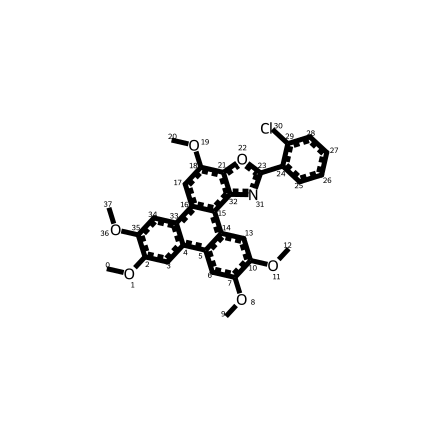 COc1cc2c3cc(OC)c(OC)cc3c3c(cc(OC)c4oc(-c5ccccc5Cl)nc43)c2cc1OC